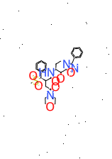 CC[C@H](NC(=O)C(CC(=O)N1CCOCC1)[C@H](c1ccccc1)S(C)(=O)=O)C(=O)c1nc(-c2ccccc2)no1